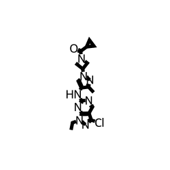 CCn1nc(Cl)c2cnc(Nc3cn(C4CN(C(=O)C5CC5)C4)nc3C)nc21